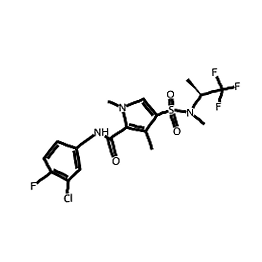 Cc1c(S(=O)(=O)N(C)[C@@H](C)C(F)(F)F)cn(C)c1C(=O)Nc1ccc(F)c(Cl)c1